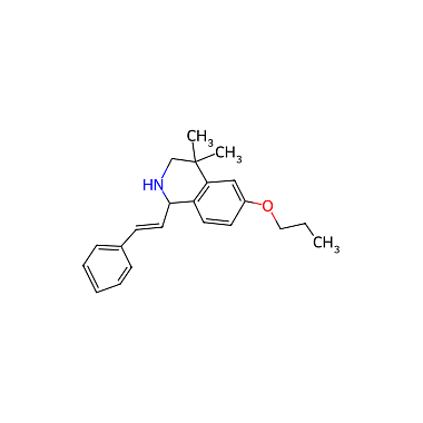 CCCOc1ccc2c(c1)C(C)(C)CNC2C=Cc1ccccc1